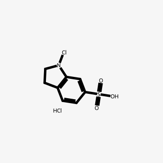 Cl.O=S(=O)(O)c1ccc2c(c1)N(Cl)CC2